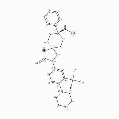 CN[C@]1(c2ccccc2)CC[C@]2(CC1)CN(c1cnc(N3CCOCC3)c(C(F)(F)F)c1)C(=O)N2